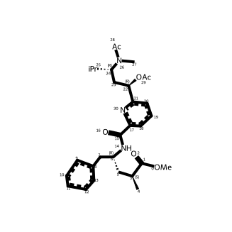 COC(=O)[C@@H](C)C[C@H](Cc1ccccc1)NC(=O)c1cccc([C@@H](C[C@H](C(C)C)N(C)C(C)=O)OC(C)=O)n1